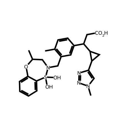 Cc1ccc(C(CC(=O)O)C2CC2c2cn(C)nn2)cc1CN1CC(C)Oc2ccccc2S1(O)O